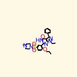 CCCOc1ccc(S(=O)(=O)N2CCN(C)CC2)cc1-c1nc2c(c(-c3ccccc3)nn2CC)c(=O)[nH]1